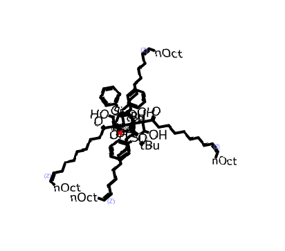 CCCCCCCC/C=C\CCCCCCCC(=O)[C@](O)([C@@](O)(C(=O)CCCCCCC/C=C\CCCCCCCC)[C@@](O)(C(=O)CCCCCCC/C=C\CCCCCCCC)C(O)[Si](c1ccccc1)(c1ccccc1)C(C)(C)C)[C@@](O)(C(=O)CCCCCCC/C=C\CCCCCCCC)C(O)[Si](c1ccccc1)(c1ccccc1)C(C)(C)C